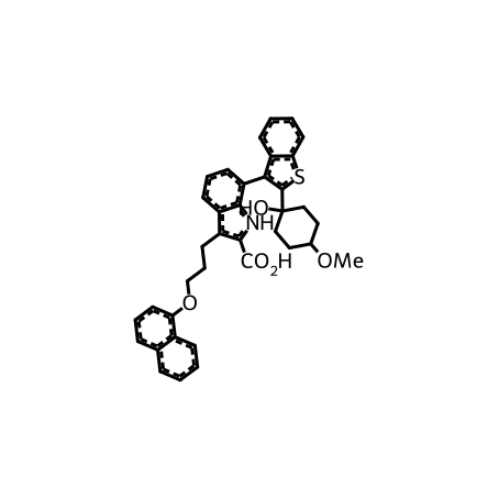 COC1CCC(O)(c2sc3ccccc3c2-c2cccc3c(CCCOc4cccc5ccccc45)c(C(=O)O)[nH]c23)CC1